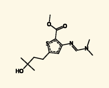 COC(=O)c1sc(CCC(C)(C)O)cc1/N=C/N(C)C